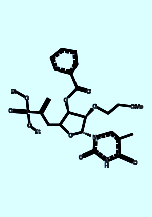 C=C(CC1O[C@@H](n2cc(C)c(=O)[nH]c2=O)[C@H](OCCOC)[C@@H]1OC(=O)c1ccccc1)P(=O)(OCC)OCC